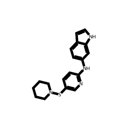 c1cc2ccc(Nc3ccc(SN4CCCCC4)cn3)cc2[nH]1